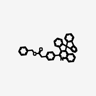 O=C(Cc1ccc(-c2nc3ccccc3c3c2-c2ccccc2C32c3ccccc3-c3ccccc32)cc1)OCc1ccccc1